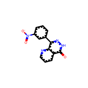 O=c1[nH]nc(-c2cccc([N+](=O)[O-])c2)c2ncccc12